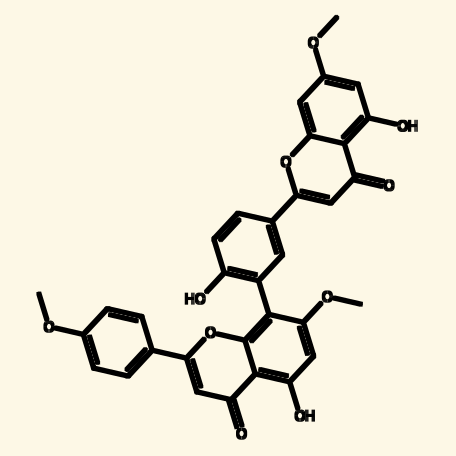 COc1ccc(-c2cc(=O)c3c(O)cc(OC)c(-c4cc(-c5cc(=O)c6c(O)cc(OC)cc6o5)ccc4O)c3o2)cc1